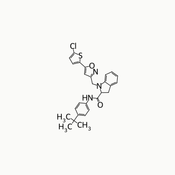 CC(C)(C)c1ccc(NC(=O)C2Cc3ccccc3N2Cc2cc(-c3ccc(Cl)s3)on2)cc1